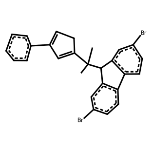 CC(C)(C1=CC(c2ccccc2)=CC1)C1c2cc(Br)ccc2-c2ccc(Br)cc21